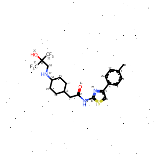 Cc1ccc(-c2csc(NC(=O)CC3CCC(NCC(O)(C(F)(F)F)C(F)(F)F)CC3)n2)cc1